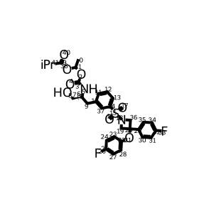 CC(OC(=O)N[C@H](CO)Cc1cccc(S(=O)(=O)N2CC(Oc3ccc(F)cc3)(c3ccc(F)cc3)C2)c1)OC(=O)C(C)C